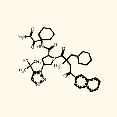 CC(CC(=O)c1ccc2ccccc2c1)(CC1CCCCC1)C(=O)N1C[C@@H](n2nncc2C(C)(C)O)C[C@H]1C(=O)NC1(C(=O)C(N)=O)CCCCC1